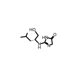 CC(C)C[C@H](CO)NC1=NCC(=O)N1